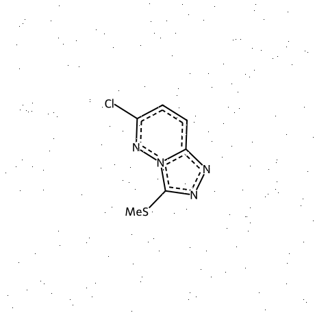 CSc1nnc2ccc(Cl)nn12